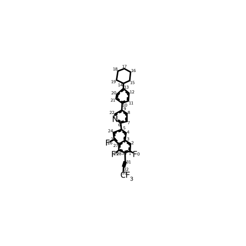 Fc1cc2cc(-c3ccc(-c4ccc(C5CCCCC5)cc4)cn3)cc(F)c2c(F)c1C#CC(F)(F)F